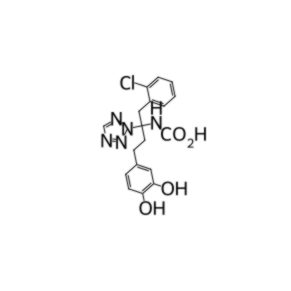 O=C(O)NC(CCc1ccc(O)c(O)c1)(Cc1ccccc1Cl)n1ncnn1